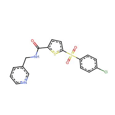 O=C(NCc1cccnc1)c1ccc(S(=O)(=O)c2ccc(Cl)cc2)s1